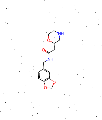 O=C(CC1CNCCO1)NCc1ccc2c(c1)OCO2